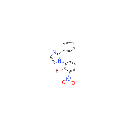 O=[N+]([O-])c1cccc(-n2ccnc2-c2ccccc2)c1Br